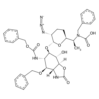 C[C@@H]([C@@H]1CC[C@@H](N=[N+]=[N-])[C@@H](O[C@H]2[C@H](O)[C@H]3OC(=O)N[C@@H]3[C@@H](OCc3ccccc3)[C@@H]2NC(=O)OCc2ccccc2)O1)N(Cc1ccccc1)C(=O)O